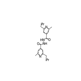 Cc1cc(C(=O)NNC(=O)c2cc(C)nc(CC(C)C)c2)cc(CC(C)C)n1